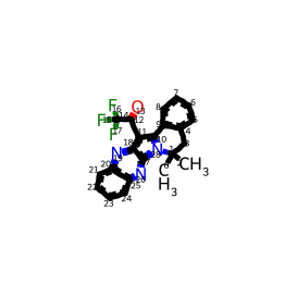 CC1(C)Cc2ccccc2-c2c(C(=O)C(F)(F)F)c3nc4ccccc4nc3n21